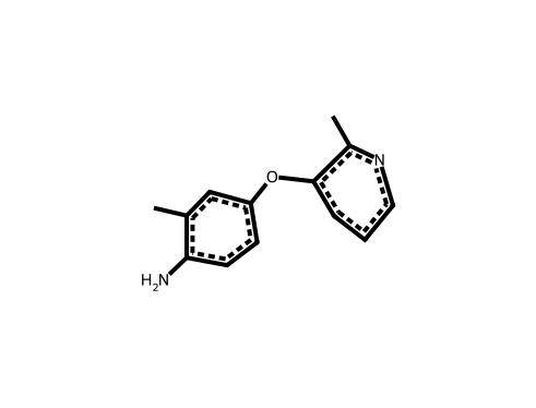 Cc1cc(Oc2cccnc2C)ccc1N